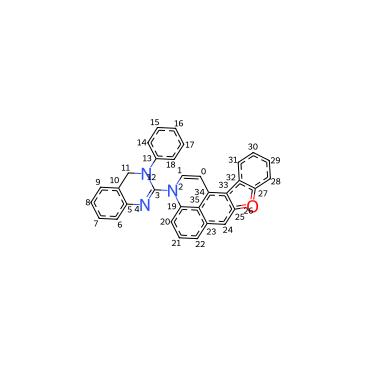 C1=CN(C2=Nc3ccccc3CN2c2ccccc2)c2cccc3cc4oc5ccccc5c4c1c23